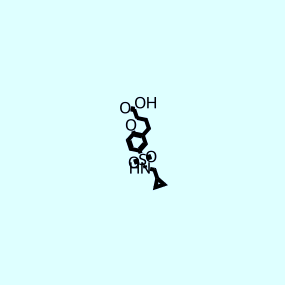 O=C(O)C1CCc2cc(S(=O)(=O)NCC3CC3)ccc2O1